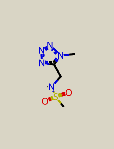 Cn1nnnc1C[N]S(C)(=O)=O